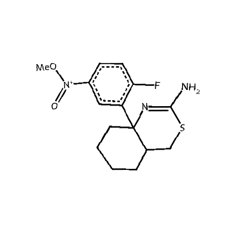 CO[N+](=O)c1ccc(F)c(C23CCCCC2CSC(N)=N3)c1